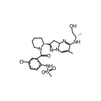 CC1=CN2N=C([C@@H]3CCCCN3C(=O)c3cc(Cl)ccc3NS(C)(=O)=O)CC2N=C1N[C@@H](C)CO